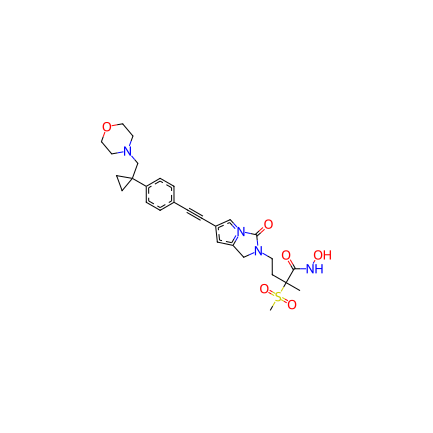 CC(CCN1Cc2cc(C#Cc3ccc(C4(CN5CCOCC5)CC4)cc3)cn2C1=O)(C(=O)NO)S(C)(=O)=O